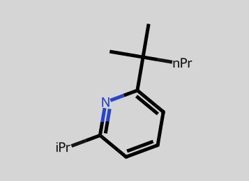 CCCC(C)(C)c1cccc(C(C)C)n1